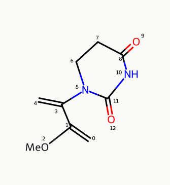 C=C(OC)C(=C)N1CCC(=O)NC1=O